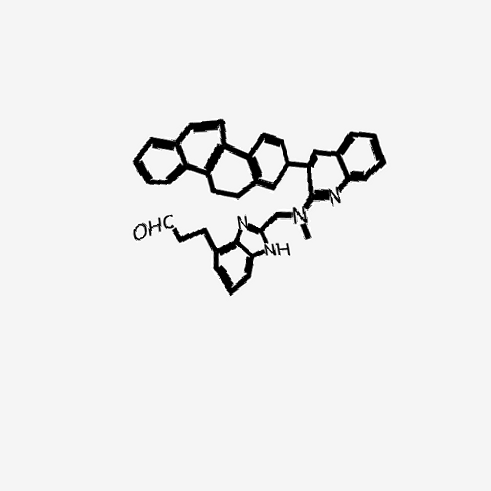 CN(Cc1nc2c(CCC=O)cccc2[nH]1)c1nc2ccccc2cc1C1C=CC2=C(CCc3c2ccc2ccccc32)C1